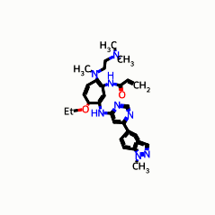 C=CC(=O)NC1=C(N(C)CCN(C)C)C=CC(OCC)C(Nc2cc(-c3ccc4c(cnn4C)c3)ncn2)=C1